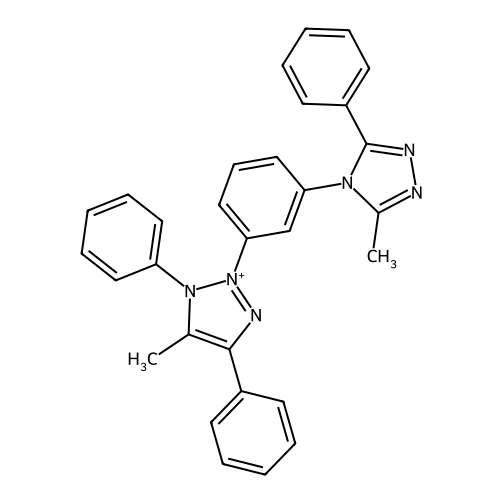 Cc1nnc(-c2ccccc2)n1-c1cccc(-[n+]2nc(-c3ccccc3)c(C)n2-c2ccccc2)c1